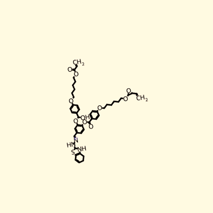 C=CC(=O)OCCCCCCOc1ccc(C(O)Oc2cc(/C=N/NC3NC4=C(C=CCC4)S3)ccc2OC(=O)c2ccc(OCCCCCCOC3OC3C=C)cc2)cc1